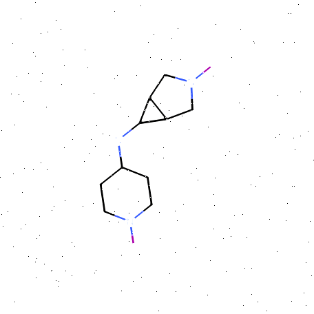 IN1CCC(NC2C3CN(I)CC32)CC1